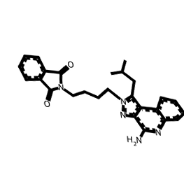 CC(C)Cc1c2c(nn1CCCCN1C(=O)c3ccccc3C1=O)c(N)nc1ccccc12